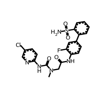 CN(CC(=O)Nc1ccc(-c2ccccc2S(N)(=O)=O)cc1F)C(=O)Nc1ccc(Cl)cn1